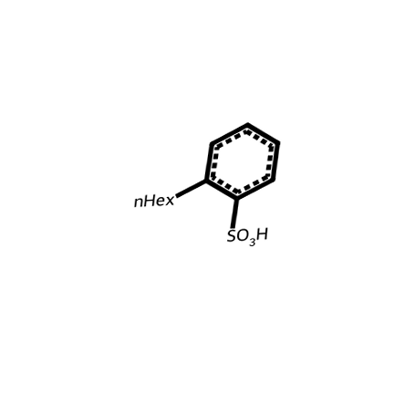 CCCCCCc1ccccc1S(=O)(=O)O